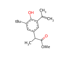 C=C(C)c1cc(C(C)C(=O)OC)cc(C(C)(C)C)c1O